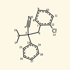 CC(C)C(C#N)(Cc1ccccc1Cl)c1ccccc1